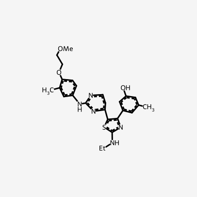 CCNc1nc(-c2cc(C)cc(O)c2)c(-c2ccnc(Nc3ccc(OCCOC)c(C)c3)n2)s1